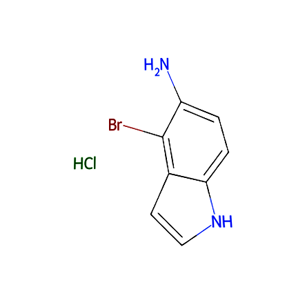 Cl.Nc1ccc2[nH]ccc2c1Br